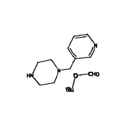 CC(C)(C)OC=O.c1cncc(CN2CCNCC2)c1